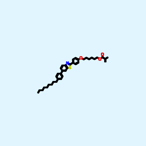 C=C(C)C(=O)OCCCCCCOc1ccc(-c2nc3ccc(-c4ccc(CCCCCCCCC)cc4)cc3s2)cc1